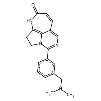 CN(C)Cc1cccc(C2=NC=C3C=CC(=O)NC4=C3N2CC4)c1